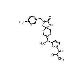 CC(=O)Nc1ncc(C(C)N2CCC3(CC2)CN(Cc2ccc(C)nc2)C(=O)N3)s1